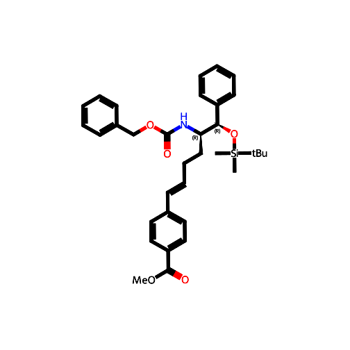 COC(=O)c1ccc(C=CCC[C@@H](NC(=O)OCc2ccccc2)[C@H](O[Si](C)(C)C(C)(C)C)c2ccccc2)cc1